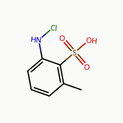 Cc1cccc(NCl)c1S(=O)(=O)O